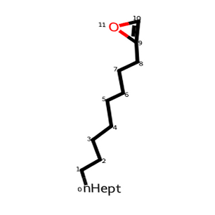 CCCCCCCCCCCCCCCC1=CO1